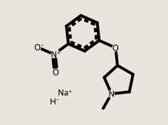 CN1CCC(Oc2cccc([N+](=O)[O-])c2)C1.[H-].[Na+]